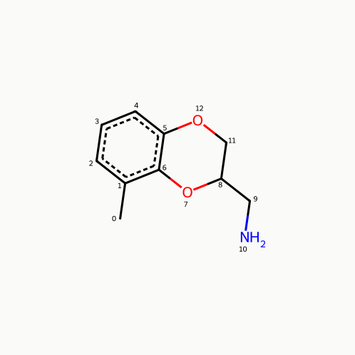 Cc1cccc2c1OC(CN)CO2